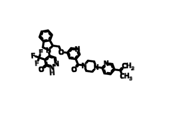 C=C(C)c1ccc(N2CCN(C(=O)c3cncc(OCC4c5ccccc5CN4c4cn[nH]c(=O)c4C(F)(F)F)c3)CC2)nc1